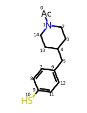 CC(=O)N1CCC(Cc2ccc(S)cc2)CC1